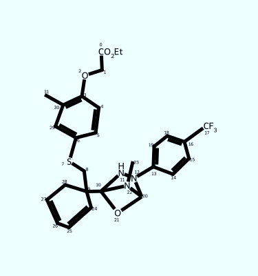 CCOC(=O)COc1ccc(SCC2(C34NN(c5ccc(C(F)(F)F)cc5)C(O3)N4C)C=CC=CC2)cc1C